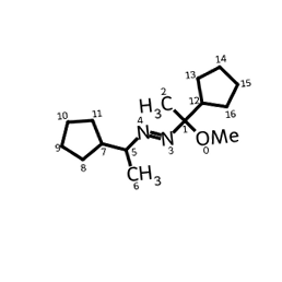 COC(C)(N=NC(C)C1CCCC1)C1CCCC1